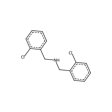 Clc1ccccc1CNCc1ccccc1Cl